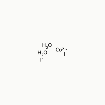 O.O.[Co+2].[I-].[I-]